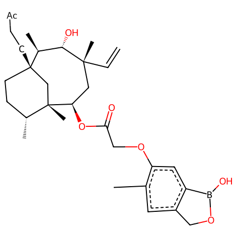 C=C[C@]1(C)C[C@@H](OC(=O)COc2cc3c(cc2C)COB3O)[C@@]2(C)C[C@](CCC(C)=O)(CC[C@H]2C)[C@@H](C)[C@@H]1O